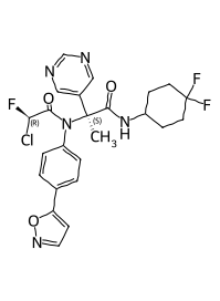 C[C@@](C(=O)NC1CCC(F)(F)CC1)(c1cncnc1)N(C(=O)[C@H](F)Cl)c1ccc(-c2ccno2)cc1